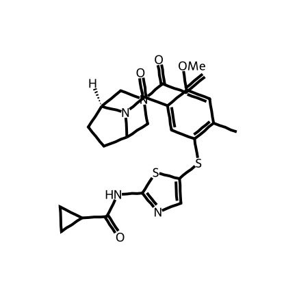 C=CC(=O)N1CC2CC[C@@H](C1)N2C(=O)c1cc(Sc2cnc(NC(=O)C3CC3)s2)c(C)cc1OC